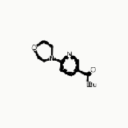 CC(C)(C)C(=O)c1ccc(N2CCOCC2)nc1